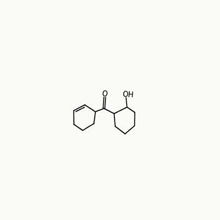 O=C(C1C=CCCC1)C1CCCCC1O